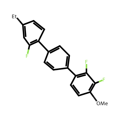 CCc1ccc(-c2ccc(-c3ccc(OC)c(F)c3F)cc2)c(F)c1